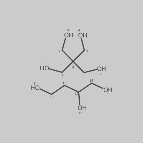 OCC(CO)(CO)CO.OCCC(O)CO